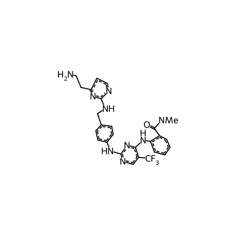 CNC(=O)c1ccccc1Nc1nc(Nc2ccc(CNc3nccc(CCN)n3)cc2)ncc1C(F)(F)F